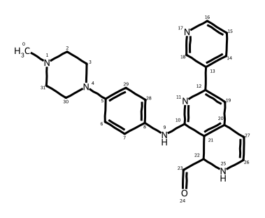 CN1CCN(c2ccc(Nc3nc(-c4cccnc4)cc4c3C(C=O)NC=C4)cc2)CC1